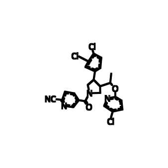 CC(Oc1ccc(Cl)cn1)C1CN(C(=O)c2ccc(C#N)nc2)CC1c1ccc(Cl)c(Cl)c1